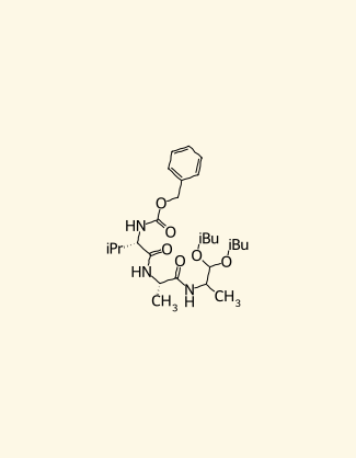 CCC(C)OC(OC(C)CC)C(C)NC(=O)[C@H](C)NC(=O)[C@@H](NC(=O)OCc1ccccc1)C(C)C